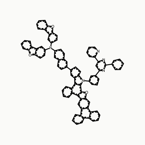 c1ccc(-c2nc(-c3cccc(-n4c5ccc(-c6ccc7cc(N(c8ccc9oc%10ccccc%10c9c8)c8ccc9oc%10ccccc%10c9c8)ccc7c6)cc5c5c6ccccc6c6c7cc8c9ccccc9c9ccccc9c8cc7oc6c54)c3)cc(-c3ccccn3)n2)cc1